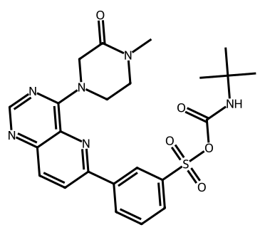 CN1CCN(c2ncnc3ccc(-c4cccc(S(=O)(=O)OC(=O)NC(C)(C)C)c4)nc23)CC1=O